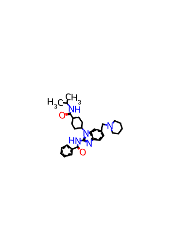 CC(C)NC(=O)C1CCC(n2c(NC(=O)c3ccccc3)nc3ccc(CN4CCCCC4)cc32)CC1